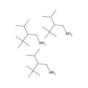 CC(C)C([CH2][AlH2])C(C)(C)C.CC(C)C([CH2][AlH2])C(C)(C)C.CC(C)C([CH2][AlH2])C(C)(C)C